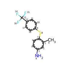 Cc1cc(N)ccc1Sc1ccc(C(F)(F)F)cc1